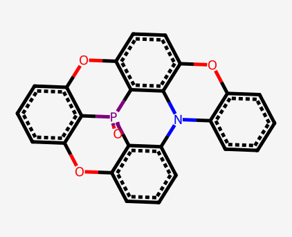 O=P12c3c4cccc3Oc3ccc5c(c31)N(c1ccccc1O5)c1cccc(c12)O4